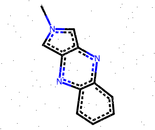 Cn1cc2nc3ccccc3nc2c1